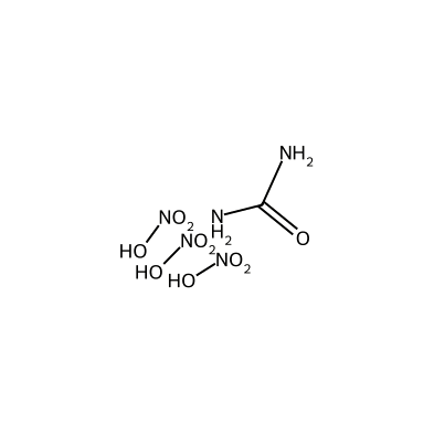 NC(N)=O.O=[N+]([O-])O.O=[N+]([O-])O.O=[N+]([O-])O